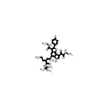 C=C/C=C(\C=C(/C)c1cc2c(C(=O)NC)c(-c3ccc(F)cc3)oc2c2c(C(=O)C(=O)NC)c[nH]c12)C(=O)NC(C)(C)C